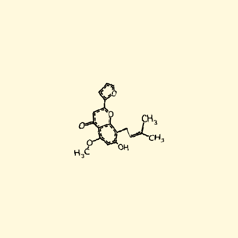 COc1cc(O)c(CC=C(C)C)c2oc(-c3ccco3)cc(=O)c12